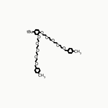 Cc1ccc(COCCOCCOCCOCCOc2ccc(C(C)(C)C)cc2OCCOCCOCCOCCOCc2ccc(C)cc2)cc1